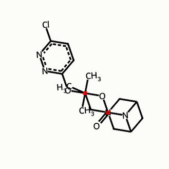 CC(C)(C)OC(=O)N1C2CC1CN(CCOc1ccc(Cl)nn1)C2